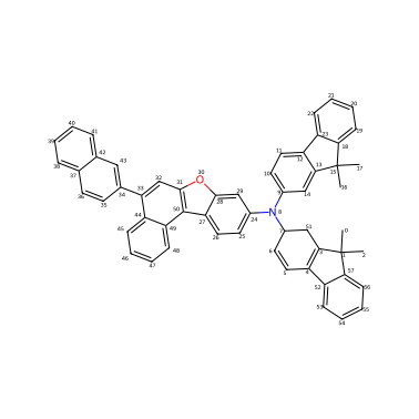 CC1(C)C2=C(C=CC(N(c3ccc4c(c3)C(C)(C)c3ccccc3-4)c3ccc4c(c3)oc3cc(-c5ccc6ccccc6c5)c5ccccc5c34)C2)c2ccccc21